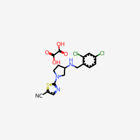 N#Cc1cnc(N2CCC(NCc3ccc(Cl)cc3Cl)C2)s1.O=C(O)C(=O)O